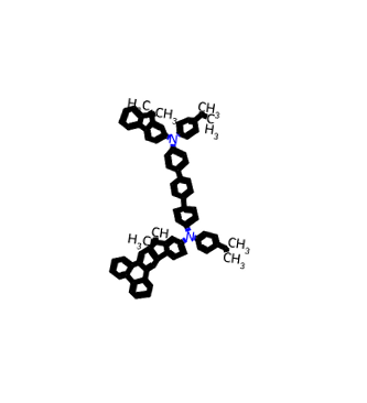 CC(C)c1ccc(N(c2ccc(-c3ccc(-c4ccc(N(c5ccc(C(C)C)cc5)c5ccc6c(c5)C(C)(C)c5cc7c8ccccc8c8ccccc8c7cc5-6)cc4)cc3)cc2)c2ccc3c(c2)C(C)(C)c2ccccc2-3)cc1